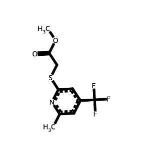 COC(=O)CSc1cc(C(F)(F)F)cc(C)n1